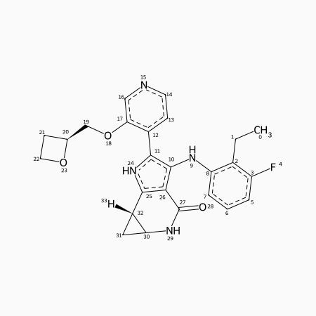 CCc1c(F)cccc1Nc1c(-c2ccncc2OC[C@@H]2CCO2)[nH]c2c1C(=O)NC1C[C@H]21